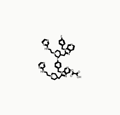 Fc1ccc(Cn2c(CC3CCN(CCNc4cnccn4)CC3)nc3ccncc32)cc1.Fc1ccc(Cn2c(CC3CCN(CCNc4cnccn4)CC3)nc3ccncc32)cc1.O=C(O)C(=O)O